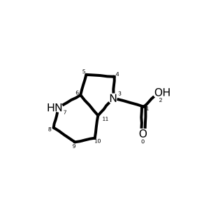 O=C(O)N1CCC2NCCCC21